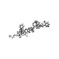 CCCOC(=O)[C@H](C)NP(=O)(Cc1ccc2sc(C(=O)NCC3CCC[C@H]4CC[C@@H](C(=O)N5CC(c6cnccc6F)C5)N4C3=O)cc2c1)Oc1ccccc1